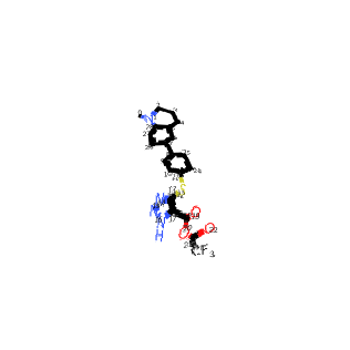 CN1CCCc2cc(-c3ccc(Sc4nn[nH]c4C(=O)OC(=O)C(F)(F)F)cc3)ccc21